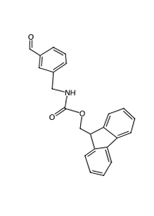 O=Cc1cccc(CNC(=O)OCC2c3ccccc3-c3ccccc32)c1